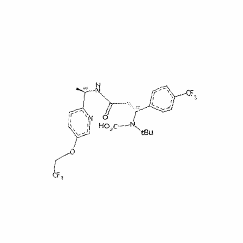 C[C@@H](NC(=O)C[C@H](c1ccc(C(F)(F)F)cc1)N(C(=O)O)C(C)(C)C)c1ccc(OCC(F)(F)F)cn1